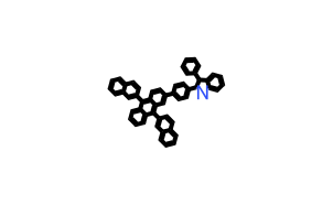 c1ccc(C2C(c3ccc(-c4ccc5c(-c6ccc7ccccc7c6)c6ccccc6c(-c6ccc7ccccc7c6)c5c4)cc3)=Nc3ccccc32)cc1